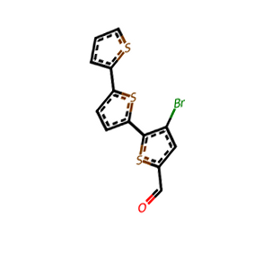 O=Cc1cc(Br)c(-c2ccc(-c3cccs3)s2)s1